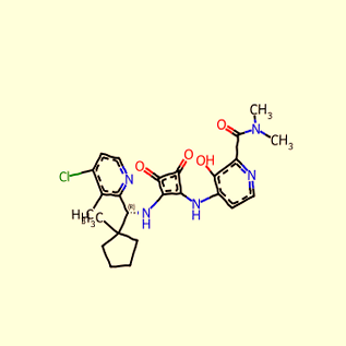 Cc1c(Cl)ccnc1[C@H](Nc1c(Nc2ccnc(C(=O)N(C)C)c2O)c(=O)c1=O)C1(C)CCCC1